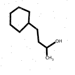 CC(O)CCC1CC[CH]CC1